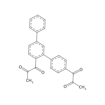 CC(=O)C(=O)c1ccc(-c2cc(-c3ccccc3)ccc2C(=O)C(C)=O)cc1